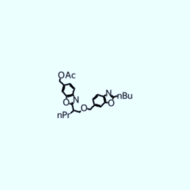 CCCCc1nc2ccc(COCC(CCC)c3nc4ccc(COC(C)=O)cc4o3)cc2o1